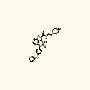 O=C(NCCN1CCNCC1)c1sc2nccc3c2c1NC(=O)N3c1ccc(Oc2ccccc2)cc1